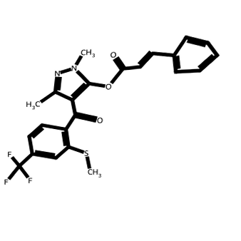 CSc1cc(C(F)(F)F)ccc1C(=O)c1c(C)nn(C)c1OC(=O)/C=C/c1ccccc1